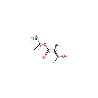 C/C(O)=C(/N=O)C(=O)OC(C)C=O